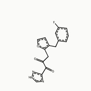 O=C(Cc1occc1Cc1cccc(F)c1)C(=O)c1nc[nH]n1